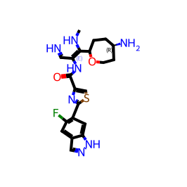 CN/C(=C(\C=N)NC(=O)c1csc(-c2cc3[nH]ncc3cc2F)n1)C1CC[C@@H](N)CCO1